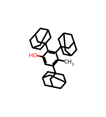 Cc1c(C23CC4CC(CC(C4)C2)C3)cc(O)c(C23CC4CC(CC(C4)C2)C3)c1C12CC3CC(CC(C3)C1)C2